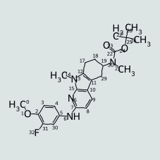 COc1ccc(Nc2ccc3c4c(n(C)c3n2)CCC(N(C)C(=O)OC(C)(C)C)C4)cc1F